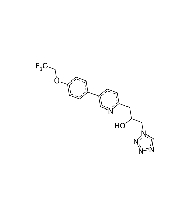 OC(Cc1ccc(-c2ccc(OCC(F)(F)F)cc2)cn1)Cn1cnnn1